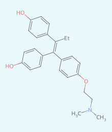 CC/C(=C(/c1ccc(O)cc1)c1ccc(OCCN(C)C)cc1)c1ccc(O)cc1